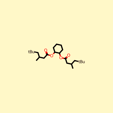 CC(CC(=O)OC1CCCCC1OC(=O)CC(C)CC(C)(C)C)CC(C)(C)C